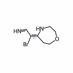 N=C/C(Br)=C1/CCOCCN1